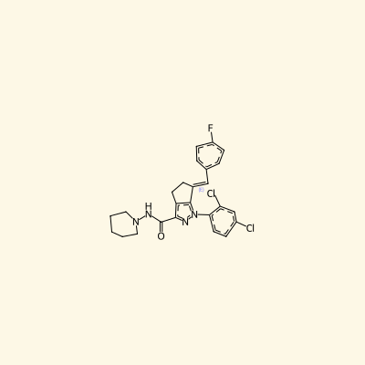 O=C(NN1CCCCC1)c1nn(-c2ccc(Cl)cc2Cl)c2c1CC/C2=C\c1ccc(F)cc1